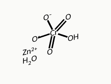 O.[O]=[Cr](=[O])([O-])([O-])[OH].[Zn+2]